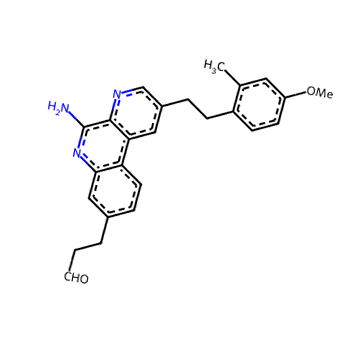 COc1ccc(CCc2cnc3c(N)nc4cc(CCC=O)ccc4c3c2)c(C)c1